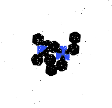 c1ccc(-c2cccc(-c3nc(-c4cccc(-c5ccccc5)c4)nc(-c4ccc5cc(-c6ccccc6)n6nc(-c7ccccc7)c(-c7ccccc7)c6c5c4)n3)c2)cc1